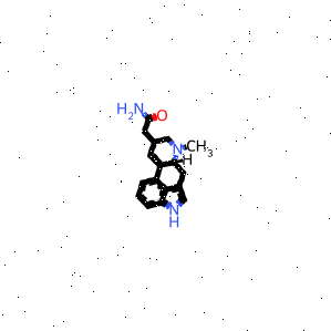 CN1CC(CC(N)=O)C=C2c3cccc4[nH]cc(c34)C[C@H]21